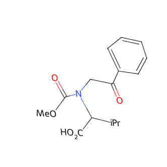 COC(=O)N(CC(=O)c1ccccc1)C(C(=O)O)C(C)C